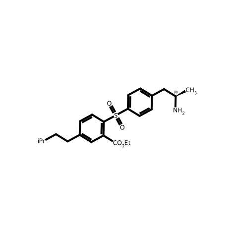 CCOC(=O)c1cc(CCC(C)C)ccc1S(=O)(=O)c1ccc(C[C@@H](C)N)cc1